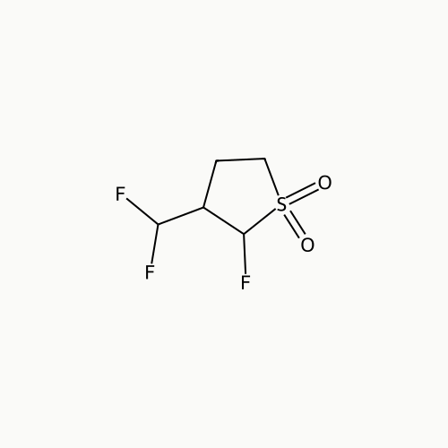 O=S1(=O)CCC(C(F)F)C1F